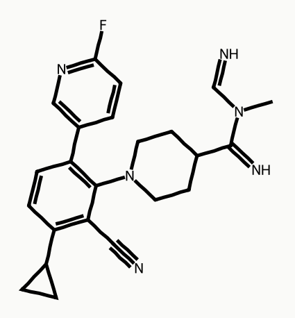 CN(C=N)C(=N)C1CCN(c2c(-c3ccc(F)nc3)ccc(C3CC3)c2C#N)CC1